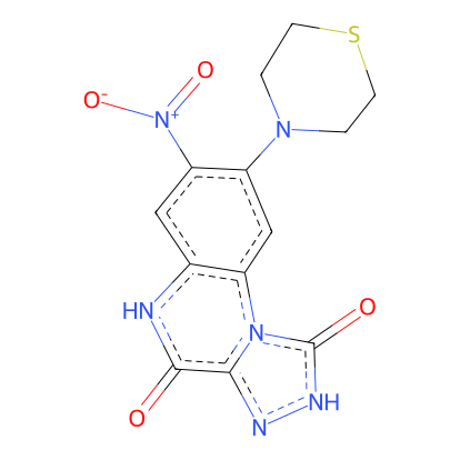 O=c1[nH]c2cc([N+](=O)[O-])c(N3CCSCC3)cc2n2c(=O)[nH]nc12